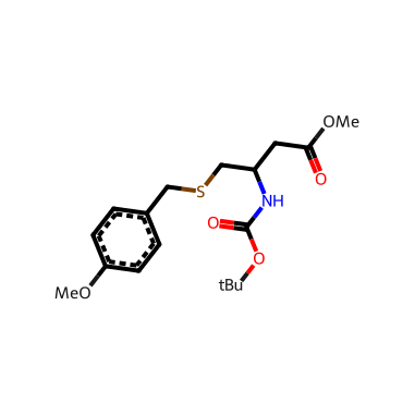 COC(=O)CC(CSCc1ccc(OC)cc1)NC(=O)OC(C)(C)C